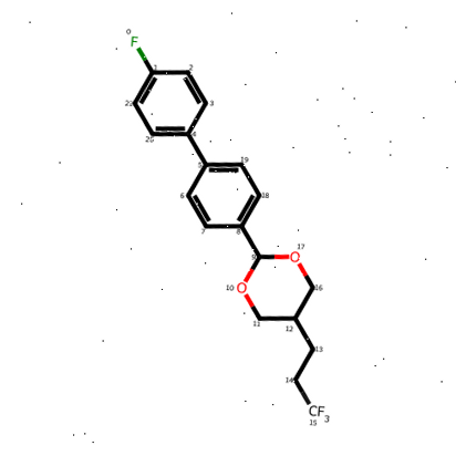 Fc1ccc(-c2ccc(C3OCC(CCC(F)(F)F)CO3)cc2)cc1